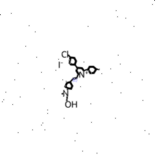 Cc1ccc(-c2cc(-c3ccc(Cl)cc3)cc(/C=C/c3ccc(N(C)CCO)cc3)[n+]2C)cc1.[I-]